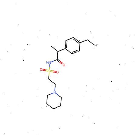 CC(C)Cc1ccc(C(C)C(=O)NS(=O)(=O)CCN2CCCCC2)cc1